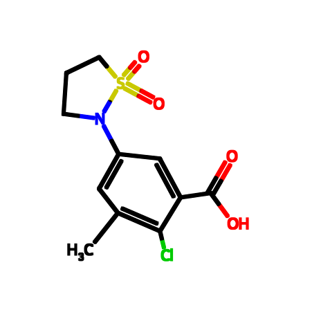 Cc1cc(N2CCCS2(=O)=O)cc(C(=O)O)c1Cl